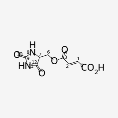 O=C(O)C=CC(=O)OCC1NC(=O)NC1=O